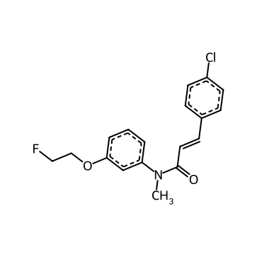 CN(C(=O)/C=C/c1ccc(Cl)cc1)c1cccc(OCCF)c1